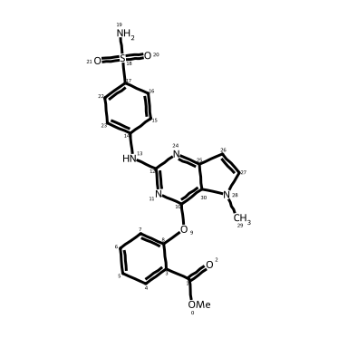 COC(=O)c1ccccc1Oc1nc(Nc2ccc(S(N)(=O)=O)cc2)nc2ccn(C)c12